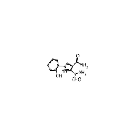 NC(=O)c1cc(-c2ccccc2O)[nH]c1N(N)C=O